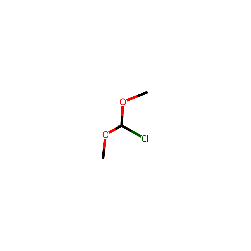 CO[C](Cl)OC